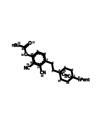 CCCCCC12CCC(CCc3ccc(OC(=O)CCCC)c(C#N)c3C#N)(CC1)CC2